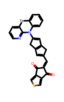 O=C1C(=CC2=CC3=C(C=C(N4c5ccccc5[Te]c5cccnc54)C3)C2)C(=O)c2cscc21